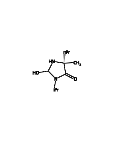 CCC[C@@]1(C)NC(O)N(C(C)C)C1=O